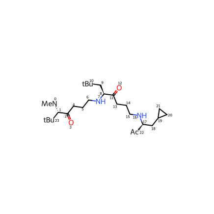 CN[C@H](C(=O)CCCN[C@@H](CC(C)(C)C)C(=O)CCCN[C@@H](CC1CC1)C(C)=O)C(C)(C)C